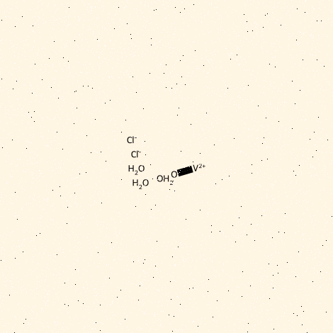 O.O.O.[Cl-].[Cl-].[O]=[V+2]